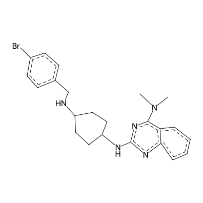 CN(C)c1nc(NC2CCC(NCc3ccc(Br)cc3)CC2)nc2ccccc12